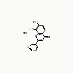 Br.O=c1cc(-c2cncnc2)oc2c(O)c(O)ccc12